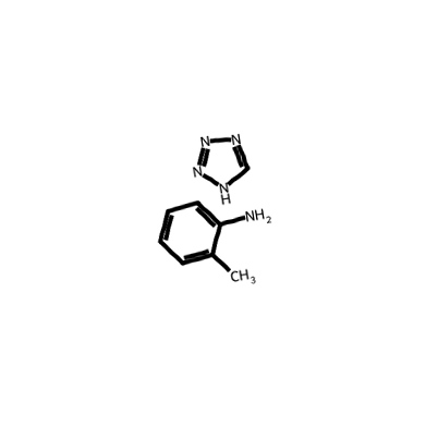 Cc1ccccc1N.c1nnn[nH]1